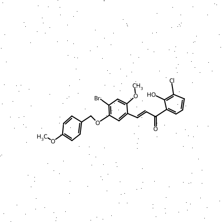 COc1ccc(COc2cc(/C=C/C(=O)c3cccc(Cl)c3O)c(OC)cc2Br)cc1